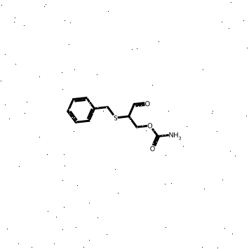 NC(=O)OCC(C=O)SCc1ccccc1